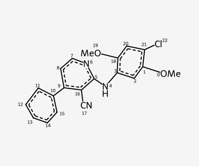 COc1cc(Nc2nccc(-c3ccccc3)c2C#N)c(OC)cc1Cl